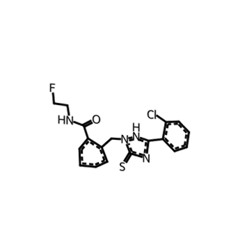 O=C(NCCF)c1ccccc1Cn1[nH]c(-c2ccccc2Cl)nc1=S